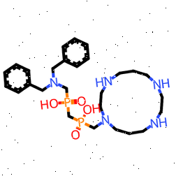 O=P(O)(CN1CCCNCCNCCCNCC1)CP(=O)(O)CN(Cc1ccccc1)Cc1ccccc1